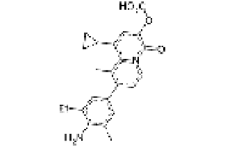 CCc1cc(-c2ccn3c(=O)c(OC(=O)O)cc(C4CC4)c3c2C)cc(C)c1N